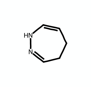 C1=CNN=CCC1